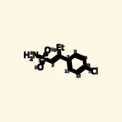 CCC(=CS(N)(=O)=O)c1ccc(Cl)cc1